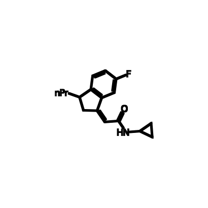 CCCC1C/C(=C/C(=O)NC2CC2)c2cc(F)ccc21